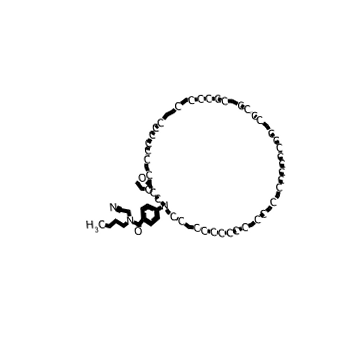 CCCCN(CC#N)C(=O)c1ccc(N2CCCCCCCCCCCCCCCCCCCCCCCCCCCCCCCCCCCCCCCCCCCCCCCCC3(CC2)OCCO3)cc1